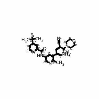 C=C(/C(C#N)=C\C(=C/N)c1cc(NC(=O)c2cc(C(C)(C)F)ccn2)cnc1C)N1CCOCC1